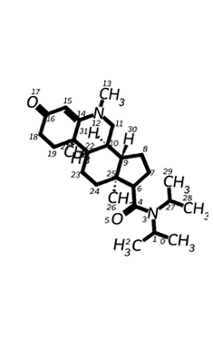 CC(C)N(C(=O)C1CC[C@H]2[C@@H]3CN(C)C4=CC(=O)CC[C@]4(C)[C@@H]3CC[C@]12C)C(C)C